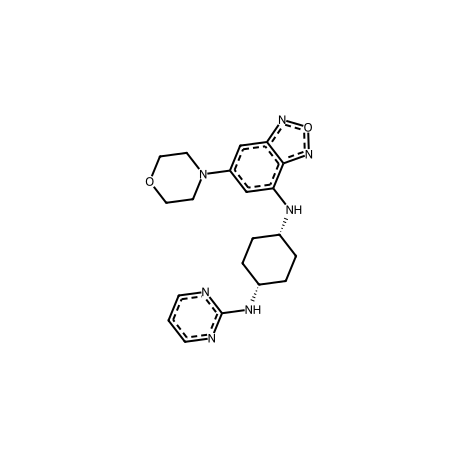 c1cnc(N[C@H]2CC[C@@H](Nc3cc(N4CCOCC4)cc4nonc34)CC2)nc1